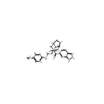 CN(C(=O)c1ccc2nonc2c1)C1C2CCC1CN(CCOc1ccc(C#N)cc1)C2